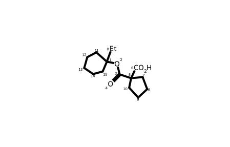 CCC1(OC(=O)C2(C(=O)O)CCCC2)CCCCC1